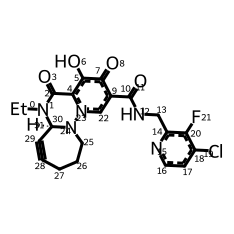 CCN1C(=O)c2c(O)c(=O)c(C(=O)NCc3nccc(Cl)c3F)cn2N2CCCC#C[C@@H]12